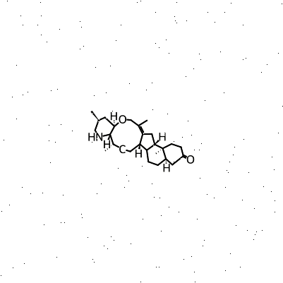 C/C1=C2\C[C@H]3C(CC[C@@H]4CC(=O)CC[C@@]43C)[C@@H]2CC[C@H](C)[C@@H]2NC[C@@H](C)C[C@H]2OC1